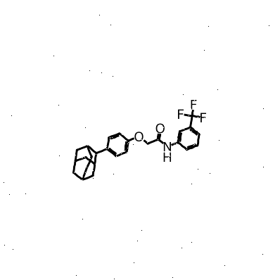 O=C(COc1ccc(C2C3CC4CC(C3)CC2C4)cc1)Nc1cccc(C(F)(F)F)c1